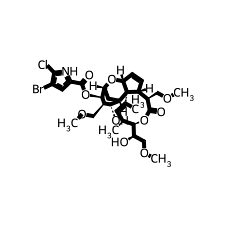 COC[C@@H]1[C@@H](O)[C@@H]2C[C@@H](O[C@@H]3C=C[C@@H]4[C@@H](COC)C(=O)O[C@H]([C@H](O)COC)[C@H](C)/C=C(\C)[C@@]432)[C@@H]1OC(=O)c1cc(Br)c(Cl)[nH]1